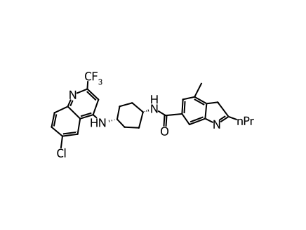 CCCC1=Nc2cc(C(=O)N[C@H]3CC[C@@H](Nc4cc(C(F)(F)F)nc5ccc(Cl)cc45)CC3)cc(C)c2C1